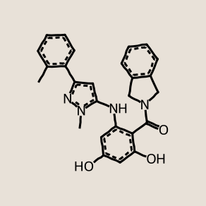 Cc1ccccc1-c1cc(Nc2cc(O)cc(O)c2C(=O)N2Cc3ccccc3C2)n(C)n1